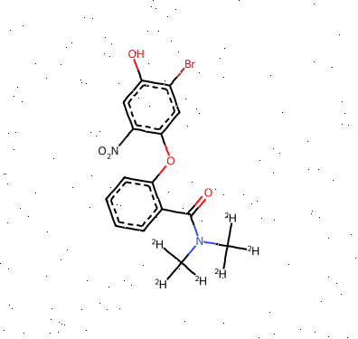 [2H]C([2H])([2H])N(C(=O)c1ccccc1Oc1cc(Br)c(O)cc1[N+](=O)[O-])C([2H])([2H])[2H]